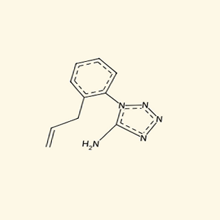 C=CCc1ccccc1-n1nnnc1N